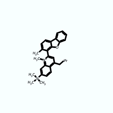 Cc1ccc2c(oc3ccccc32)c1-c1cc(CC(C)C)c2ccc([Si](C)(C)C)cc2[n+]1C